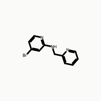 Brc1ccnc(NCc2ccccn2)c1